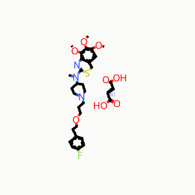 COc1cc2c(c(OC)c1OC)N=C(N(C)C1CCN(CCCOCCc3ccc(F)cc3)CC1)SC2.O=C(O)/C=C/C(=O)O